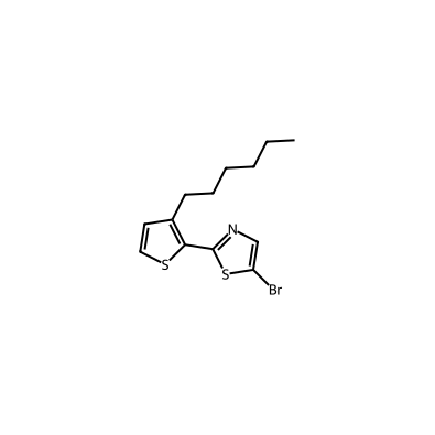 CCCCCCc1ccsc1-c1ncc(Br)s1